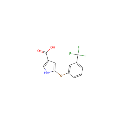 O=C(O)c1c[nH]c(Sc2cccc(C(F)(F)F)c2)c1